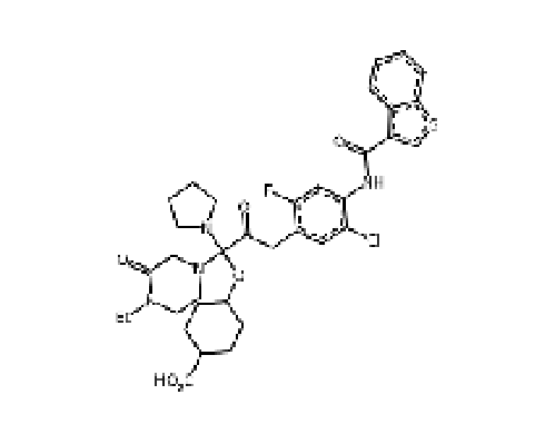 CCN1CCN(C(OC2CCC(C(=O)O)CC2)(C(=O)Cc2cc(Cl)c(NC(=O)c3csc4ccccc34)cc2F)N2CCCC2)CC1=O